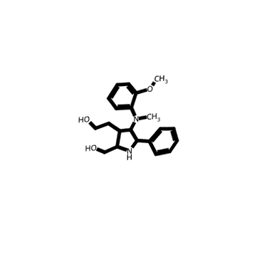 COc1ccccc1N(C)C1C(c2ccccc2)NC(CO)C1CCO